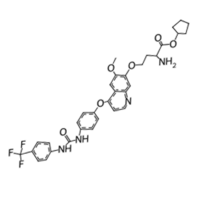 COc1cc2c(Oc3ccc(NC(=O)Nc4ccc(C(F)(F)F)cc4)cc3)ccnc2cc1OCCC(N)C(=O)OC1CCCC1